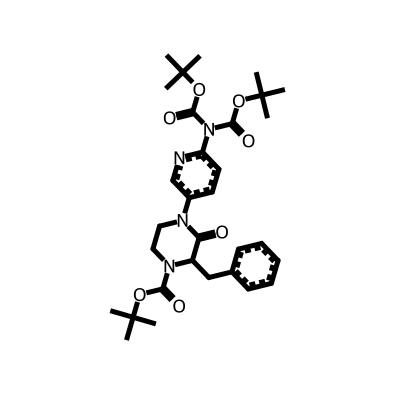 CC(C)(C)OC(=O)N(C(=O)OC(C)(C)C)c1ccc(N2CCN(C(=O)OC(C)(C)C)C(Cc3ccccc3)C2=O)cn1